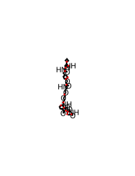 O=C(COc1ccc(CC(=O)Nc2cc(C3CCC3)[nH]n2)cc1)NCCOCCOCCNc1cccc2c1C(=O)N(C1CCC(=O)NC1=O)C2=O